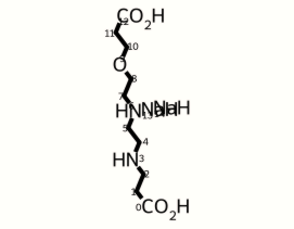 O=C(O)CCNCCNCCOCCC(=O)O.[NaH].[NaH]